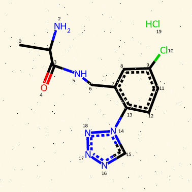 CC(N)C(=O)NCc1cc(Cl)ccc1-n1cnnn1.Cl